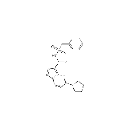 O=C(NS(=O)(=O)Cc1ccccc1)c1cnn2ccc(N3CCCC3)cc12